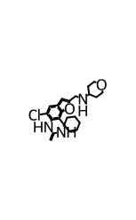 C=C1Nc2c(Cl)cc3cc(CNC4CCOCC4)oc3c2C2(CCCCC2)N1